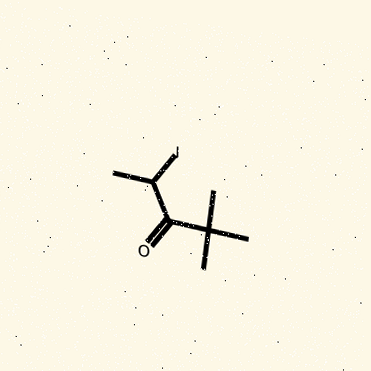 CC(I)C(=O)C(C)(C)C